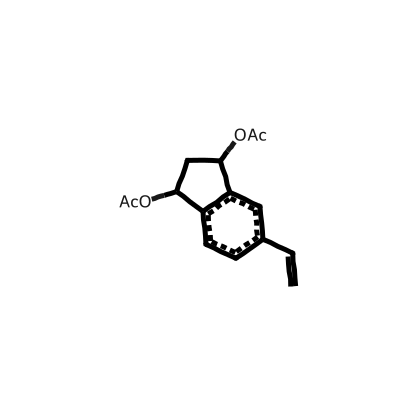 C=Cc1ccc2c(c1)C(OC(C)=O)CC2OC(C)=O